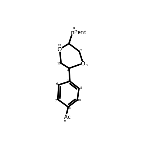 CCCCCC1COC(c2ccc(C(C)=O)cc2)CO1